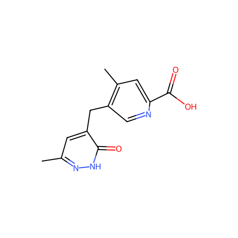 Cc1cc(Cc2cnc(C(=O)O)cc2C)c(=O)[nH]n1